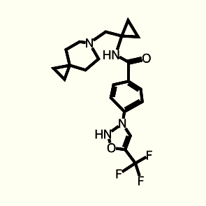 O=C(NC1(CN2CCC3(CC2)CC3)CC1)c1ccc(N2C=C(C(F)(F)F)ON2)cc1